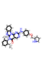 Cc1cccc(C)c1-n1c(=O)c2cnc(Nc3ccc(OC[C@H]4CCCN4)cc3)nc2n2c3ccccc3nc12